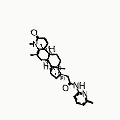 CC1=C2N(C)C(=O)CC[C@]2(C)[C@H]2CC[C@]3(C)[C@@H](CC(=O)Nc4cccc(C)n4)CC[C@H]3[C@@H]2C1